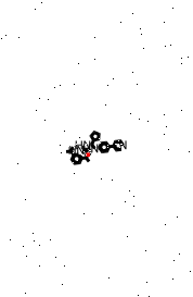 CC(C)c1cccc(C(C)C)c1NC(=O)NC(Nc1ccc(-c2ccncc2)cc1)C1CCCC1